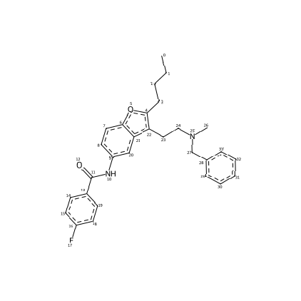 CCCCc1oc2ccc(NC(=O)c3ccc(F)cc3)cc2c1CCN(C)Cc1ccccc1